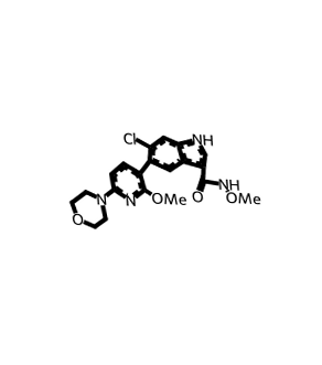 CONC(=O)c1c[nH]c2cc(Cl)c(-c3ccc(N4CCOCC4)nc3OC)cc12